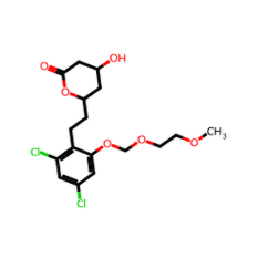 COCCOCOc1cc(Cl)cc(Cl)c1CCC1CC(O)CC(=O)O1